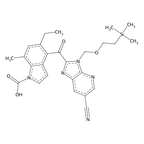 CCc1cc(C)c2c(ccn2C(=O)O)c1C(=O)c1nc2cc(C#N)cnc2n1COCC[Si](C)(C)C